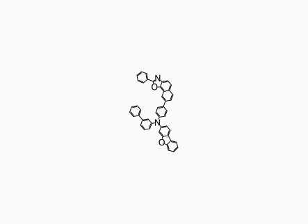 c1ccc(-c2cccc(N(c3ccc(-c4ccc5ccc6nc(-c7ccccc7)oc6c5c4)cc3)c3ccc4c(c3)oc3ccccc34)c2)cc1